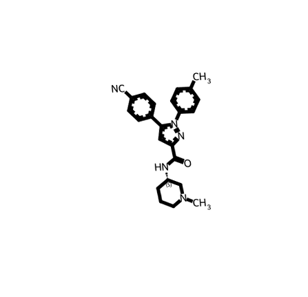 Cc1ccc(-n2nc(C(=O)N[C@H]3CCCN(C)C3)cc2-c2ccc(C#N)cc2)cc1